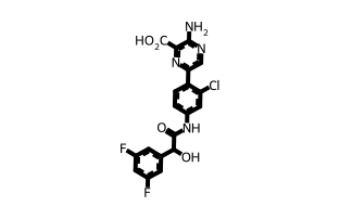 Nc1ncc(-c2ccc(NC(=O)C(O)c3cc(F)cc(F)c3)cc2Cl)nc1C(=O)O